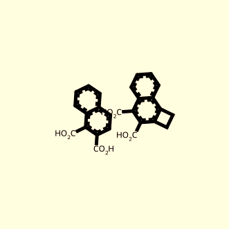 O=C(O)c1c2c(c3ccccc3c1C(=O)O)CC2.O=C(O)c1ccc2ccccc2c1C(=O)O